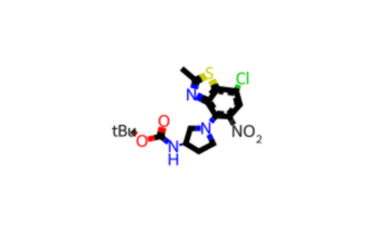 Cc1nc2c(N3CC[C@H](NC(=O)OC(C)(C)C)C3)c([N+](=O)[O-])cc(Cl)c2s1